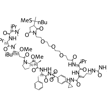 CCCCC(C)(SC)C1CC(=O)N(CCOCCOCCOCCC(=O)N[C@H](C(=O)N[C@@H](CCCNC(N)=O)C(=O)NC2(c3ccc(S(=O)(=O)NC(=O)[C@H](Cc4ccccc4)NC(=O)[C@H](C)[C@@H](OC)[C@@H]4CCCN4C(=O)C[C@@H](OC)[C@H]([C@@H](C)CC)N(C)C(=O)[C@@H](NC(=O)[C@H](C(C)C)N(C)C)C(C)C)cc3)CC2)C(C)C)C1=O